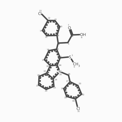 CSc1c(C(CC(=O)O)c2ccc(Cl)cc2)ccc2c3ccccc3n(Cc3ccc(Cl)cc3)c12